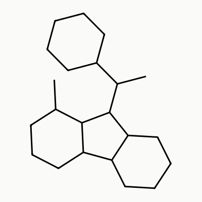 CC1CCCC2C3CCCCC3C(C(C)C3CCCCC3)C12